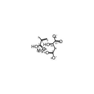 C=C(C)C(=O)O.O=C([O-])CC(O)C(=O)[O-].[Mg+2]